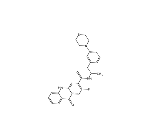 CC(Cc1cccc(N2CCSCC2)c1)NC(=O)c1cc2[nH]c3ccccc3c(=O)c2cc1F